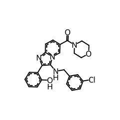 O=C(c1ccc2nc(-c3ccccc3O)c(NCc3cccc(Cl)c3)n2c1)N1CCOCC1